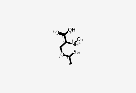 CC1OCC(C(=O)O)[NH+]([O-])S1